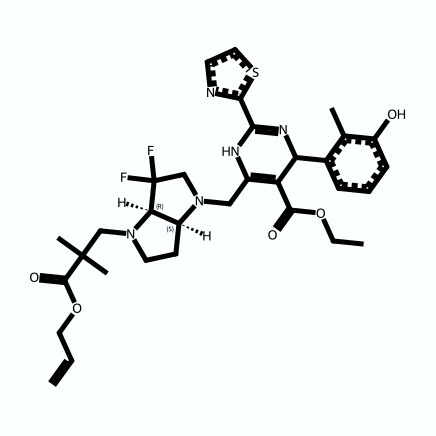 C=CCOC(=O)C(C)(C)CN1CC[C@H]2[C@@H]1C(F)(F)CN2CC1=C(C(=O)OCC)C(c2cccc(O)c2C)N=C(c2nccs2)N1